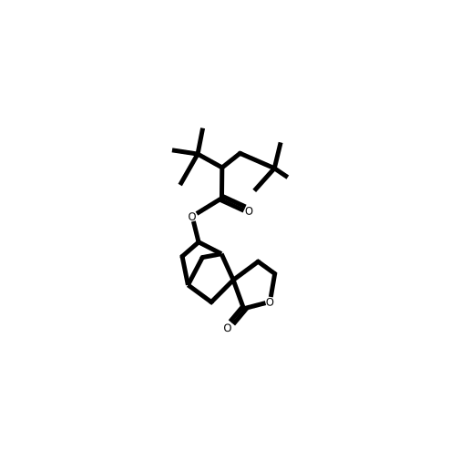 CC(C)(C)CC(C(=O)OC1CC2CC1C1(CCOC1=O)C2)C(C)(C)C